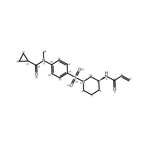 C=CC(=O)N[C@H]1CCCN(S(=O)(=O)c2ccc(N(C)C(=O)C3CC3)cc2)C1